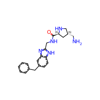 NC[C@H]1CN[C@H](C(=O)NCc2nc3cc(Cc4ccccc4)ccc3[nH]2)C1